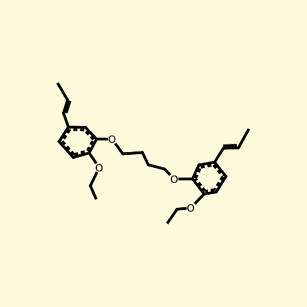 CC=Cc1ccc(OCC)c(OCCCCOc2cc(C=CC)ccc2OCC)c1